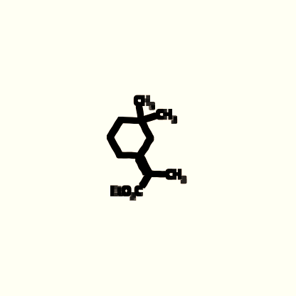 CCOC(=O)C(C)=C1CCCC(C)(C)C1